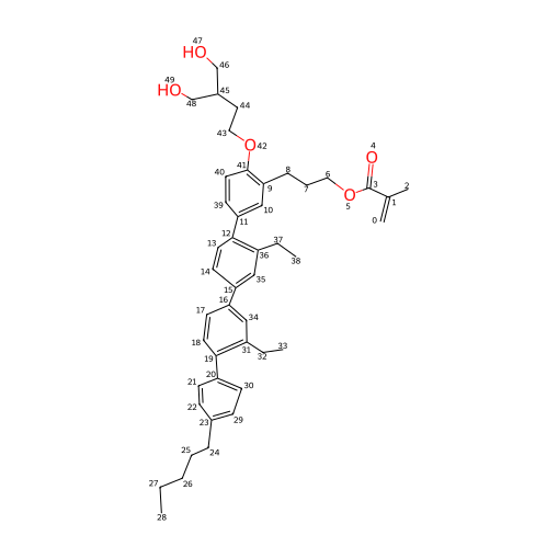 C=C(C)C(=O)OCCCc1cc(-c2ccc(-c3ccc(-c4ccc(CCCCC)cc4)c(CC)c3)cc2CC)ccc1OCCC(CO)CO